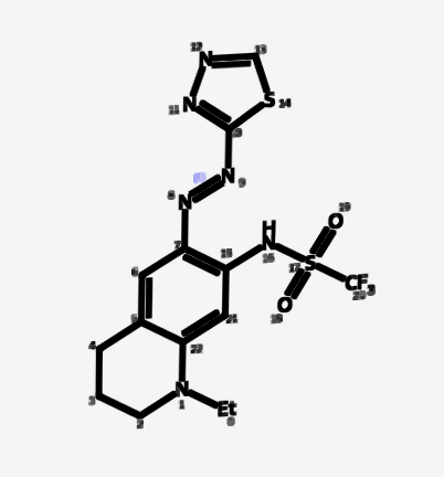 CCN1CCCc2cc(/N=N/c3nncs3)c(NS(=O)(=O)C(F)(F)F)cc21